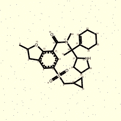 CC1Cc2cc(S(=O)(=O)CC3CC3)cc(C(=O)N(C)C(C)(C3=CCCCC3)C3CCCN3)c2O1